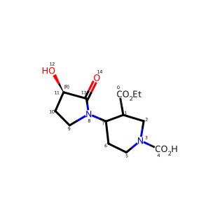 CCOC(=O)C1CN(C(=O)O)CCC1N1CC[C@@H](O)C1=O